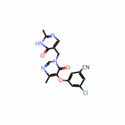 Cc1ncc(Cn2cnc(C)c(Oc3cc(Cl)cc(C#N)c3)c2=O)c(=O)[nH]1